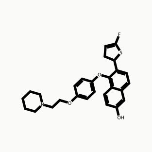 Oc1ccc2c(Oc3ccc(OCCN4CCCCC4)cc3)c(C3CC=C(F)S3)ccc2c1